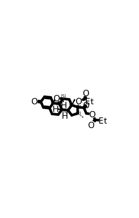 CCC(=O)OCC(=O)[C@@]1(OC(=O)CC)[C@H](C)C[C@H]2[C@@H]3CCC4=CC(=O)C=C[C@]4(C)[C@@]34O[C@H]4C[C@@]21C